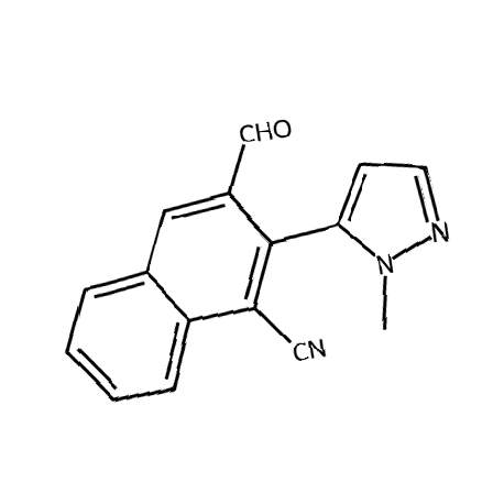 Cn1nccc1-c1c(C=O)cc2ccccc2c1C#N